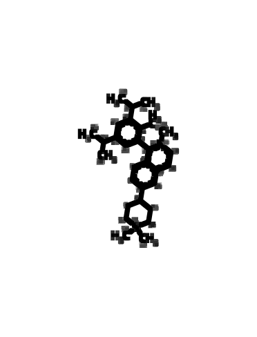 Cc1c(-c2c3ccc(C4CC[Si](C)(C)CC4)cc3cc[n+]2C)cc(C(C)C)cc1C(C)C